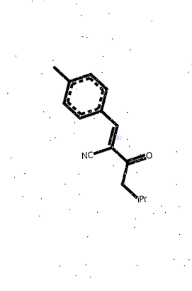 Cc1ccc(/C=C(\C#N)C(=O)CC(C)C)cc1